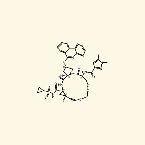 Cc1cc(C(=O)N[C@H]2CCCCC/C=C\[C@@H]3C[C@@]3(C(=O)NS(=O)(=O)C3CC3)NC(=O)[C@@H]3C[C@@H](Oc4nc5ncncc5c5ccccc45)CN3C2=O)nn1C